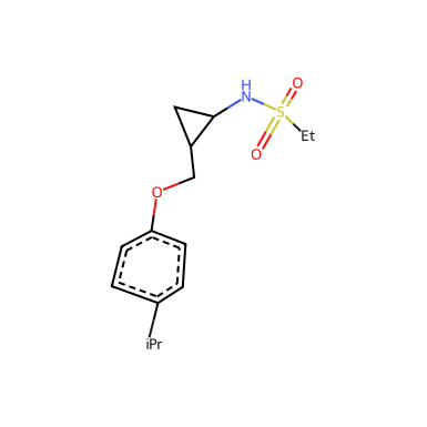 CCS(=O)(=O)NC1CC1COc1ccc(C(C)C)cc1